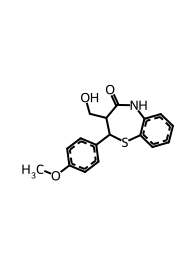 COc1ccc(C2Sc3ccccc3NC(=O)C2CO)cc1